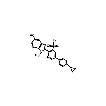 CCS(=O)(=O)c1cc(-c2ccc(C3CC3)cc2)cnc1-c1nc2cc(C(C)=O)cnc2n1C